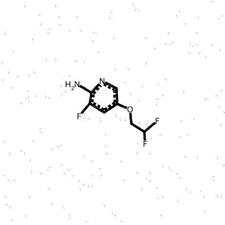 Nc1ncc(OCC(F)F)cc1F